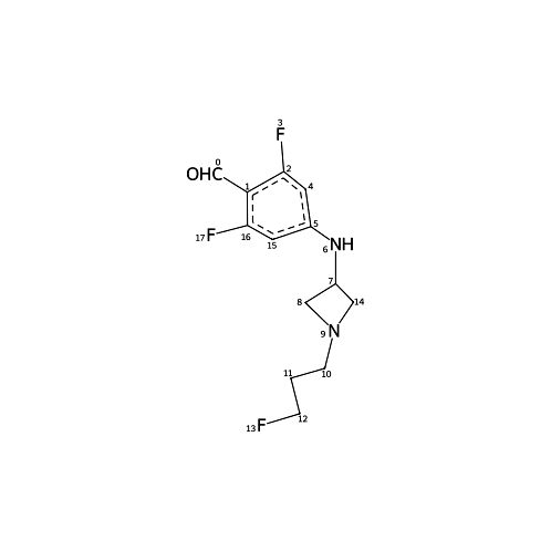 O=Cc1c(F)cc(NC2CN(CCCF)C2)cc1F